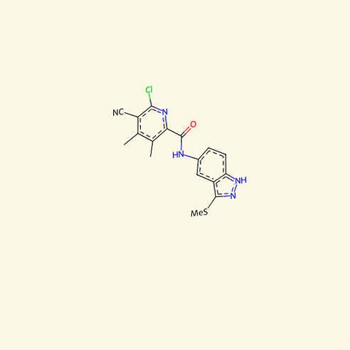 CSc1n[nH]c2ccc(NC(=O)c3nc(Cl)c(C#N)c(C)c3C)cc12